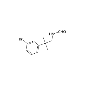 CC(C)(CNC=O)c1cccc(Br)c1